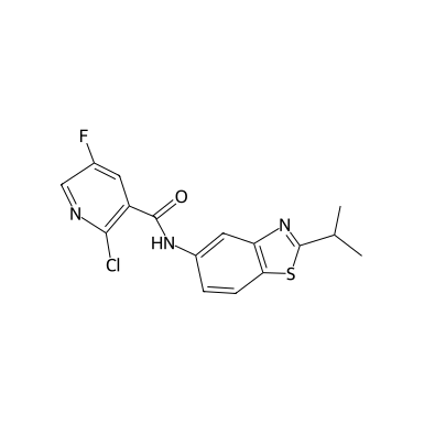 CC(C)c1nc2cc(NC(=O)c3cc(F)cnc3Cl)ccc2s1